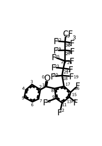 O=C(c1ccccc1)c1c(F)c(F)c(F)c(F)c1C(F)(F)C(F)(F)C(F)(F)C(F)(F)C(F)(F)C(F)(F)F